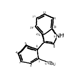 CC(C)(C)c1ccccc1-c1c[nH]c2ccccc12